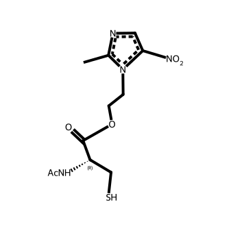 CC(=O)N[C@@H](CS)C(=O)OCCn1c([N+](=O)[O-])cnc1C